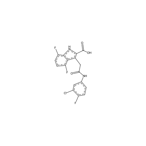 O=C(Cc1c(C(=O)O)[nH]c2c(F)ccc(F)c12)Nc1ccc(F)c(Cl)c1